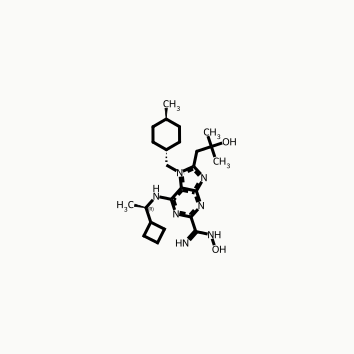 C[C@@H](Nc1nc(C(=N)NO)nc2nc(CC(C)(C)O)n(C[C@H]3CC[C@H](C)CC3)c12)C1CCC1